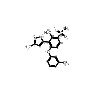 Cc1cc(-c2c(Oc3cccc(C(F)(F)F)c3)ccc(S(N)(=O)=O)c2C)[nH]n1